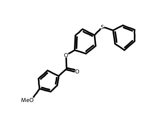 COc1ccc(C(=O)Oc2ccc(Sc3ccccc3)cc2)cc1